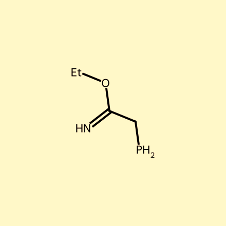 CCOC(=N)CP